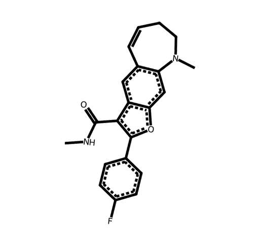 CNC(=O)c1c(-c2ccc(F)cc2)oc2cc3c(cc12)C=CCCN3C